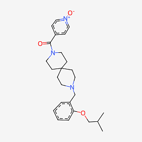 CC(C)COc1ccccc1CN1CCC2(CC1)CCN(C(=O)c1cc[n+]([O-])cc1)CC2